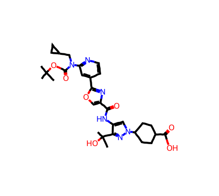 CC(C)(C)OC(=O)N(CC1CC1)c1cc(-c2nc(C(=O)Nc3cn(C4CCC(C(=O)O)CC4)nc3C(C)(C)O)co2)ccn1